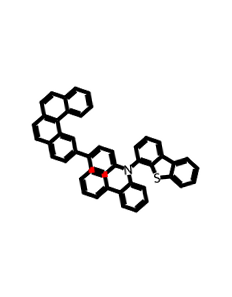 c1ccc(-c2ccccc2N(c2ccc(-c3ccc4ccc5ccc6ccccc6c5c4c3)cc2)c2cccc3c2sc2ccccc23)cc1